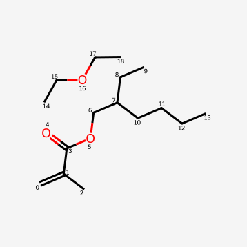 C=C(C)C(=O)OCC(CC)CCCC.CCOCC